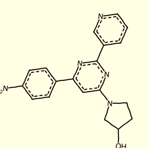 Nc1ccc(-c2cc(N3CCC(O)C3)nc(-c3cccnc3)n2)cc1